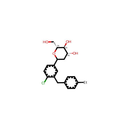 CCc1ccc(Cc2cc(C3C[C@@H](O)[C@H](O)[C@@H](CO)O3)ccc2Cl)cc1